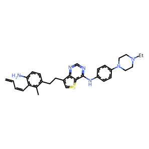 C=C/C=C\c1c(N)ccc(CCc2csc3c(Nc4ccc(N5CCN(CC)CC5)cc4)ncnc23)c1C